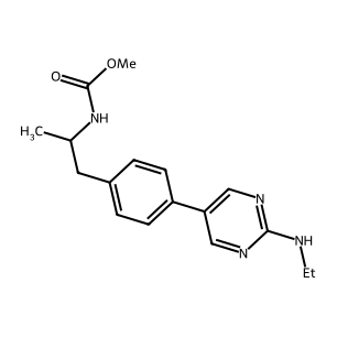 CCNc1ncc(-c2ccc(CC(C)NC(=O)OC)cc2)cn1